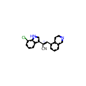 N#C/C(=C\c1cccc2cnccc12)c1c[nH]c2c(Cl)cccc12